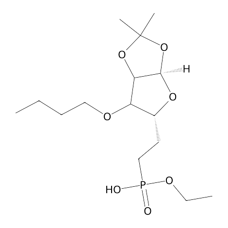 CCCCOC1C2OC(C)(C)O[C@H]2O[C@@H]1CCP(=O)(O)OCC